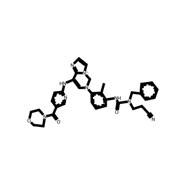 Cc1c(NC(=O)N(CCC#N)Cc2ccccc2)cccc1N1C=C(Nc2ccc(C(=O)N3CCOCC3)cn2)C2=NC=C[N+]2C1